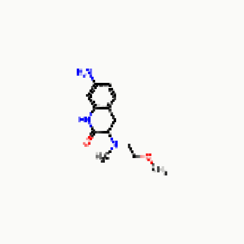 COCCN(C)C1Cc2ccc(N)cc2NC1=O